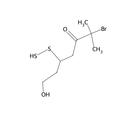 CC(C)(Br)C(=O)CC(CCO)SS